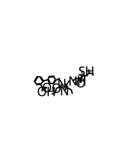 CCOc1nc(CC)c(CNCC(=O)[C@@H](S)CC(C)C)n1Cc1ccc(-c2ccccc2C(=O)O)cc1